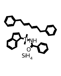 C(C=CCc1ccccc1)=CCc1ccccc1.[CH3][Ti]([CH3])([NH]C(=O)c1ccccc1)[CH]1C=Cc2ccccc21.[SiH4]